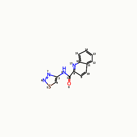 O=C(Nc1csnn1)c1ccc2ccccc2n1